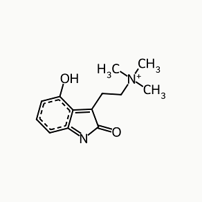 C[N+](C)(C)CCC1=c2c(O)cccc2=NC1=O